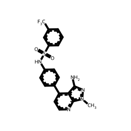 Cn1nc(N)c2c(-c3ccc(NS(=O)(=O)c4cccc(C(F)(F)F)c4)cc3)ccnc21